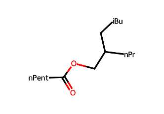 CCCCCC(=O)OCC(CCC)CC(C)CC